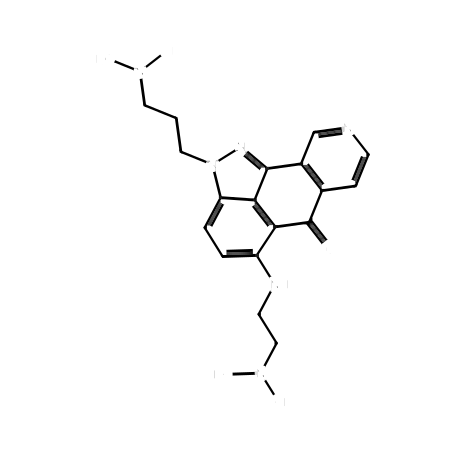 CN(C)CCCn1nc2c3c(c(NCCN(C)C)ccc31)C(=O)c1ccncc1-2